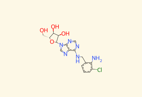 Nc1c(Cl)cccc1CNc1ncnc2c1ncn2C1O[C@H](CO)[C@@H](O)[C@H]1O